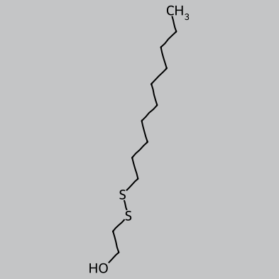 CCCCCCCCCCSSCCO